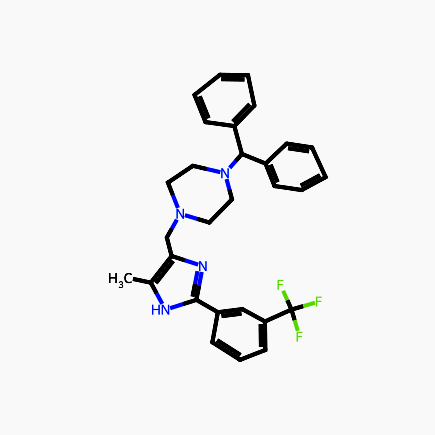 Cc1[nH]c(-c2cccc(C(F)(F)F)c2)nc1CN1CCN(C(c2ccccc2)c2ccccc2)CC1